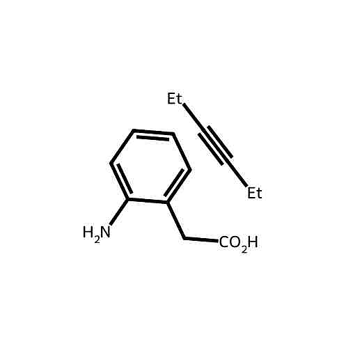 CCC#CCC.Nc1ccccc1CC(=O)O